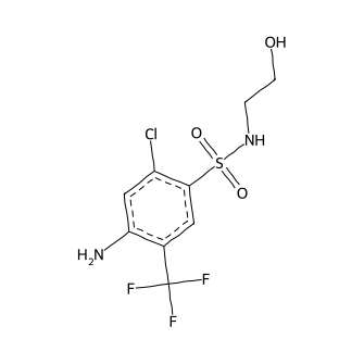 Nc1cc(Cl)c(S(=O)(=O)NCCO)cc1C(F)(F)F